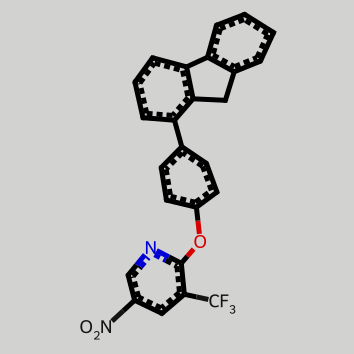 O=[N+]([O-])c1cnc(Oc2ccc(-c3cccc4c3Cc3ccccc3-4)cc2)c(C(F)(F)F)c1